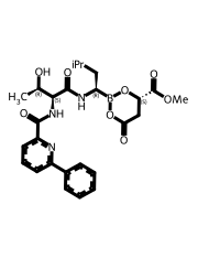 COC(=O)[C@@H]1CC(=O)OB([C@H](CC(C)C)NC(=O)[C@@H](NC(=O)c2cccc(-c3ccccc3)n2)[C@@H](C)O)O1